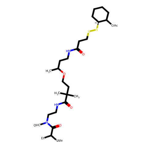 CCC(SC)C(=O)N(C=O)CCNC(=O)C(C)(C)CCOC(C)CCNC(=O)CCSS[C@H]1CCCCC1OC(C)=O